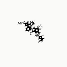 COC1CC(c2cccc(N3Cc4c(cc(CNC5CC6(C5)CC6(F)F)cc4C(F)(F)F)C3=O)c2)(c2nncn2C)C1